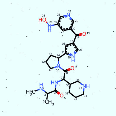 CNC(C)C(=O)NC(C(=O)N1CCCC1c1cc(C(=O)c2cncc(NO)c2)c[nH]1)C1CCCNC1